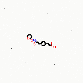 O=C(O)C=Cc1ccc(C=CC(=O)NOC2CCCCO2)cc1